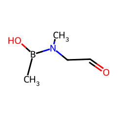 CB(O)N(C)CC=O